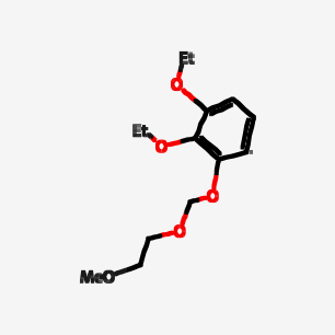 CCOc1cc[c]c(OCOCCOC)c1OCC